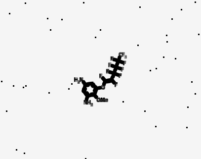 COc1c(N)cc(N)cc1OC(F)=C(F)C(F)(F)C(F)(F)C(F)(F)C(F)(F)F